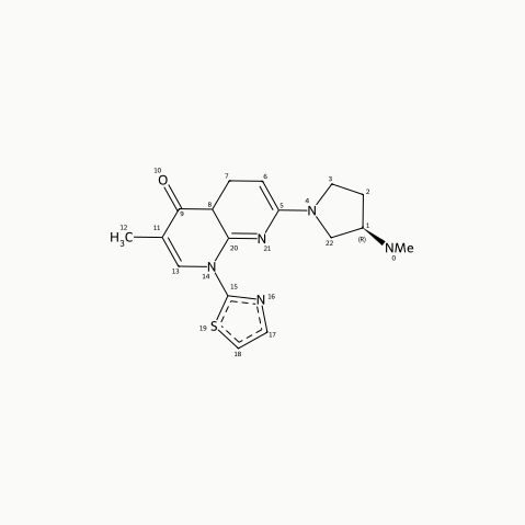 CN[C@@H]1CCN(C2=CCC3C(=O)C(C)=CN(c4nccs4)C3=N2)C1